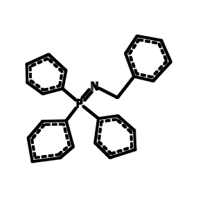 c1ccc(CN=P(c2ccccc2)(c2ccccc2)c2ccccc2)cc1